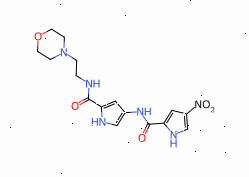 O=C(NCCN1CCOCC1)c1cc(NC(=O)c2cc([N+](=O)[O-])c[nH]2)c[nH]1